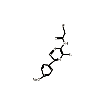 CCc1nc(-c2ccc(OC)cc2)cnc1NC(=O)CC(C)C